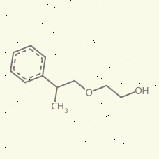 CC(COCCO)c1ccccc1